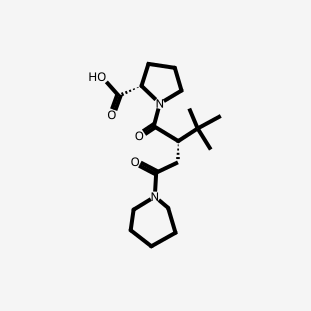 CC(C)(C)[C@H](CC(=O)N1CCCCC1)C(=O)N1CCC[C@H]1C(=O)O